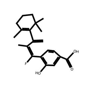 C=C(C(C)=C(F)c1ccc(C(=O)O)cc1O)C1=C(C)CCCC1(C)C